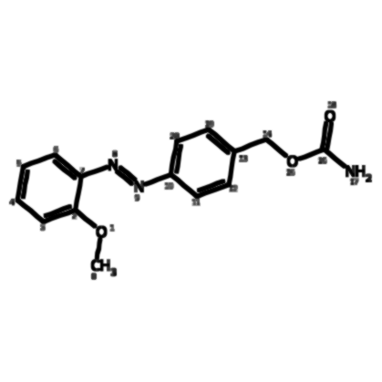 COc1ccccc1/N=N/c1ccc(COC(N)=O)cc1